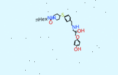 CCCCCCNC(=O)N1CCC(Sc2ccc(CCNC[C@H](O)COc3ccc(O)cc3)cc2)CC1